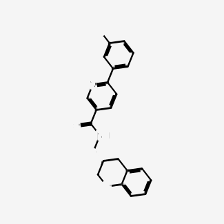 O=C(NC[C@H]1COc2ccccc2C1)c1ccc(-c2cccc(F)c2)nc1